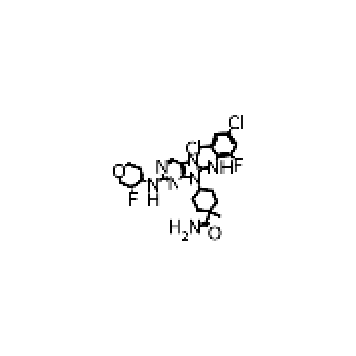 CC1(C(N)=O)CCC(n2c(Nc3c(F)cc(Cl)cc3Cl)nc3cnc(N[C@H]4CCOC[C@H]4F)nc32)CC1